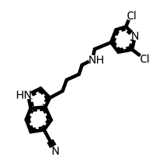 N#Cc1ccc2[nH]cc(CCCCNCc3cc(Cl)nc(Cl)c3)c2c1